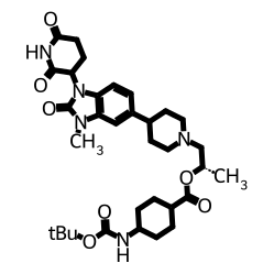 C[C@@H](CN1CCC(c2ccc3c(c2)n(C)c(=O)n3C2CCC(=O)NC2=O)CC1)OC(=O)C1CCC(NC(=O)OC(C)(C)C)CC1